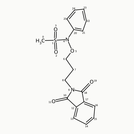 CS(=O)(=O)N(OCCCN1C(=O)c2ccccc2C1=O)c1ccccc1